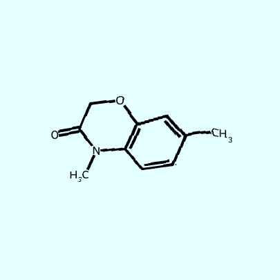 Cc1[c]cc2c(c1)OCC(=O)N2C